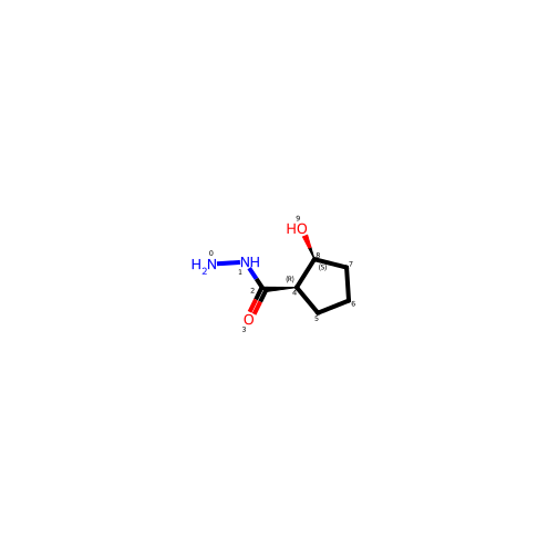 NNC(=O)[C@@H]1CCC[C@@H]1O